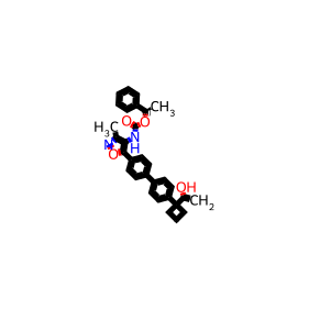 C=C(O)C1(c2ccc(-c3ccc(-c4onc(C)c4NC(=O)O[C@H](C)c4ccccc4)cc3)cc2)CCC1